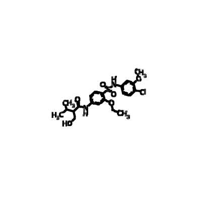 CCOc1cc(NC(=O)C(CO)C(C)C)ccc1S(=O)(=O)Nc1ccc(Cl)c(OC)c1